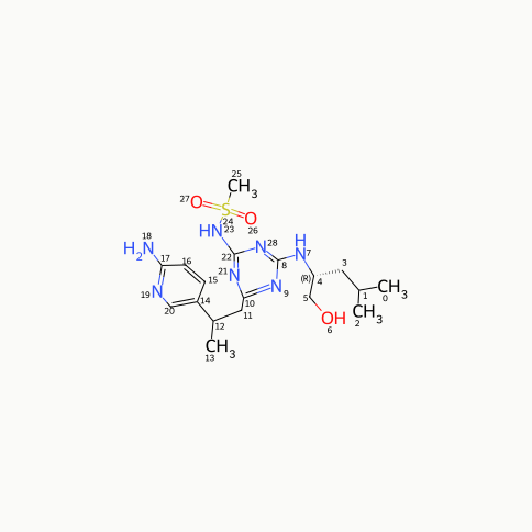 CC(C)C[C@H](CO)Nc1nc(CC(C)c2ccc(N)nc2)nc(NS(C)(=O)=O)n1